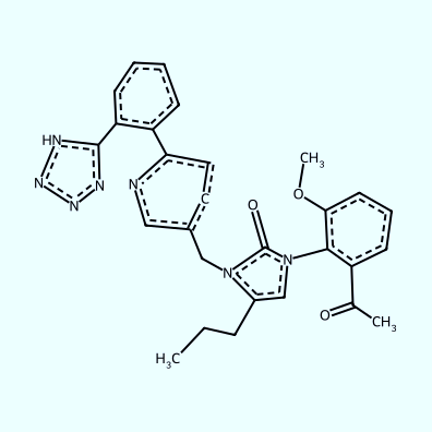 CCCc1cn(-c2c(OC)cccc2C(C)=O)c(=O)n1Cc1ccc(-c2ccccc2-c2nnn[nH]2)nc1